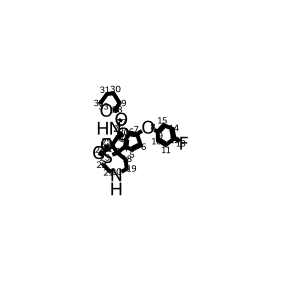 O=C(CC1(c2ccc(Oc3ccc(F)cc3)cc2)CCNCCS1(=O)=O)NOC1CCCCO1